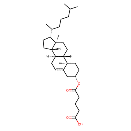 CC(C)CCCC(C)[C@H]1CC[C@H]2[C@@H]3CC=C4C[C@@H](OC(=O)CCCC(=O)O)CC[C@]4(C)[C@H]3CC[C@]12C